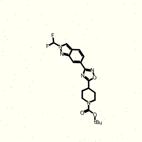 CC(C)(C)OC(=O)N1CCC(c2nc(-c3ccc4cn(C(F)F)nc4c3)no2)CC1